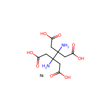 NC(CC(=O)O)(CC(=O)O)C(N)(CC(=O)O)CC(=O)O.[Ni]